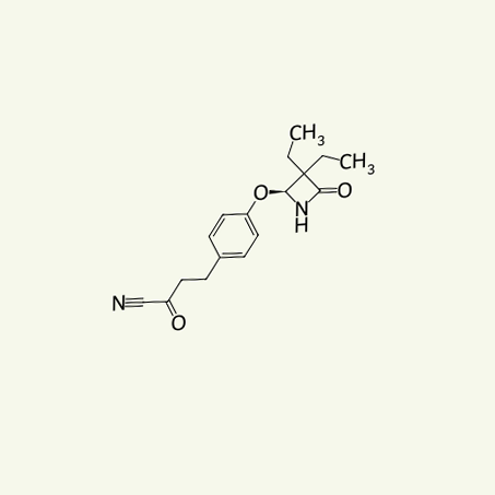 CCC1(CC)C(=O)N[C@H]1Oc1ccc(CCC(=O)C#N)cc1